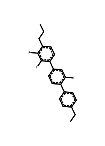 CCCc1ccc(-c2ccc(-c3ccc(CC)cc3)c(F)c2)c(F)c1F